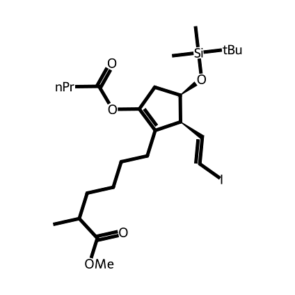 CCCC(=O)OC1=C(CCCCC(C)C(=O)OC)[C@H](/C=C/I)[C@H](O[Si](C)(C)C(C)(C)C)C1